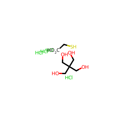 Cl.Cl.Cl.Cl.O=C(O)CS.OCC(CO)(CO)CO